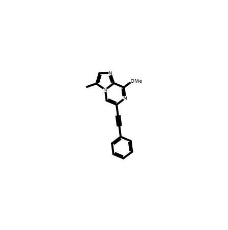 COc1nc(C#Cc2ccccc2)cn2c(C)cnc12